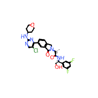 C[C@H](C(=O)N[C@H](CO)c1cc(F)cc(F)c1)N1Cc2ccc(-c3nc(NC4CCOCC4)ncc3Cl)cc2C1=O